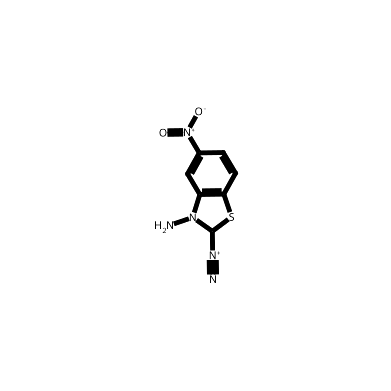 N#[N+]C1Sc2ccc([N+](=O)[O-])cc2N1N